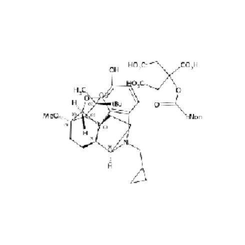 CCCCCCCCCC(=O)OC(CC(=O)O)(CC(=O)O)C(=O)O.CO[C@@]12CC[C@@]3(C[C@@H]1[C@](C)(O)C(C)(C)C)[C@H]1Cc4ccc(O)c5c4[C@@]3(CCN1CC1CC1)[C@H]2O5